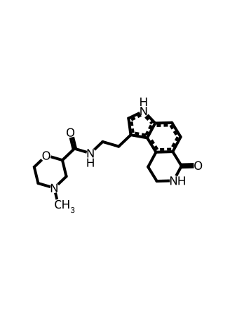 CN1CCOC(C(=O)NCCc2c[nH]c3ccc4c(c23)CCNC4=O)C1